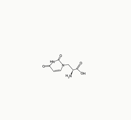 N[C@@H](Cn1ccc(=O)[nH]c1=O)C(=O)O